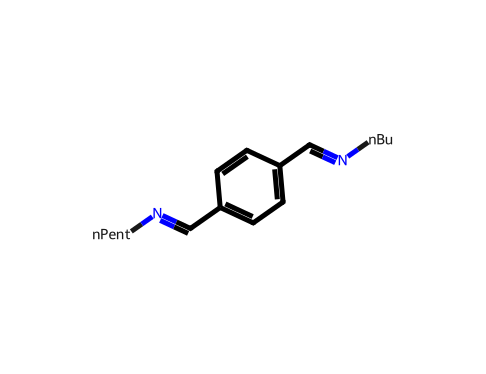 CCCCC/N=C/c1ccc(/C=N/CCCC)cc1